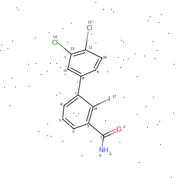 NC(=O)c1cccc(-c2ccc(Cl)c(Cl)c2)c1I